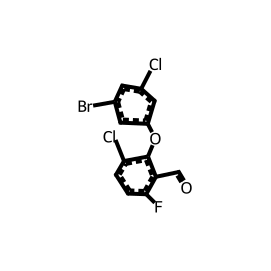 O=Cc1c(F)ccc(Cl)c1Oc1cc(Cl)cc(Br)c1